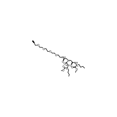 C#CCOCCOCCOCCOCCNC(=O)CN(CC(=O)N[C@@H](CCCC)C(=O)OC)C(=O)N[C@@H](CCCC)C(=O)OC